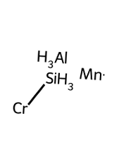 [AlH3].[Mn].[SiH3][Cr]